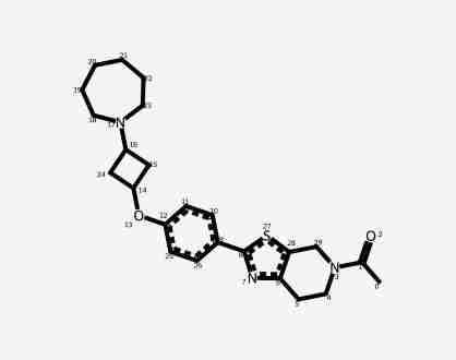 CC(=O)N1CCc2nc(-c3ccc(OC4CC(N5CCCCCC5)C4)cc3)sc2C1